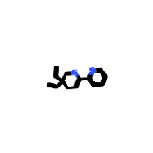 C=CC1(C=C)C=NC(c2ccccn2)=CC1